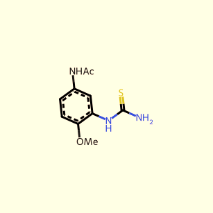 COc1ccc(NC(C)=O)cc1NC(N)=S